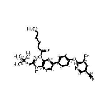 CCCCCC(=O)Oc1nc(-c2ccc(Oc3ncc(C#N)cc3F)cc2)cnc1NC(=O)OC(C)(C)C